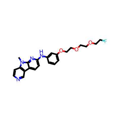 Cn1c2ccncc2c2ccc(Nc3cccc(OCCOCCOCCF)c3)nc21